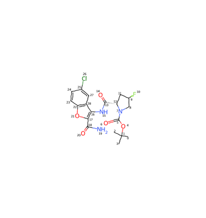 CC(C)(C)OC(=O)N1C[C@H](F)C[C@H]1C(=O)Nc1c(C(N)=O)oc2ccc(Cl)cc12